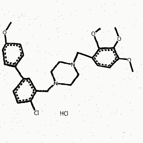 COc1ccc(-c2ccc(Cl)c(CN3CCN(Cc4ccc(OC)c(OC)c4OC)CC3)c2)cc1.Cl